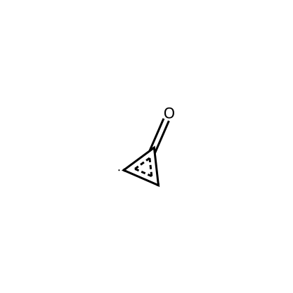 O=c1[c]c1